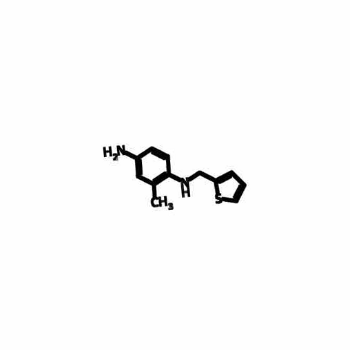 Cc1cc(N)ccc1NCc1cccs1